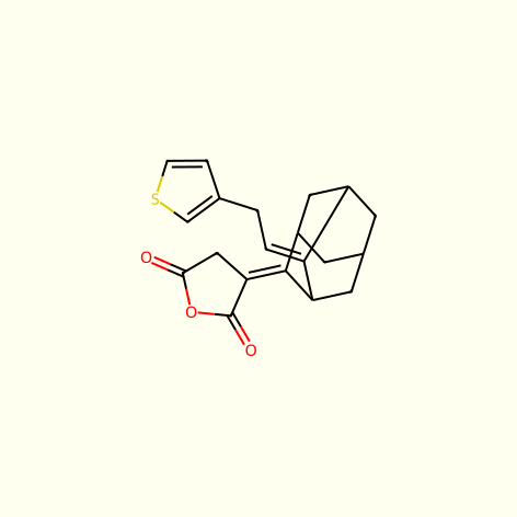 O=C1CC(=C2C3CC4CC(C3)C(=CCc3ccsc3)C2C4)C(=O)O1